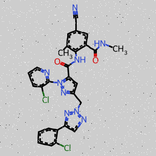 CNC(=O)c1cc(C#N)cc(C)c1NC(=O)c1cc(Cn2ncc(-c3ccccc3Cl)n2)nn1-c1ncccc1Cl